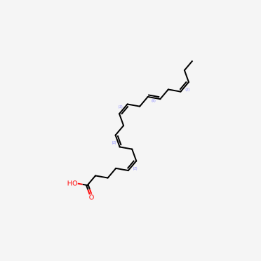 CC/C=C\C/C=C/C/C=C\C/C=C\C/C=C\CCCC(=O)O